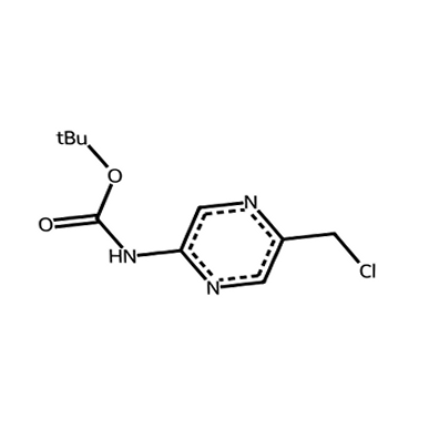 CC(C)(C)OC(=O)Nc1cnc(CCl)cn1